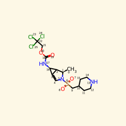 C[C@@H]1C2C(=CN1S(=O)(=O)CC1CCNCC1)[C@H]2NC(=O)OCC(Cl)(Cl)Cl